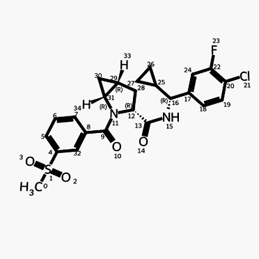 CS(=O)(=O)c1cccc(C(=O)N2[C@@H](C(=O)N[C@@H](c3ccc(Cl)c(F)c3)C3CC3)C[C@H]3C[C@H]32)c1